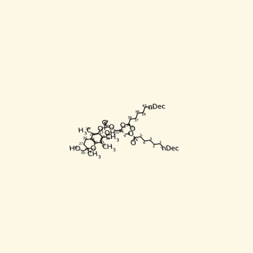 CCCCCCCCCCCCCCCC(=O)OC[C@H](COP(=O)(O)Oc1c(C)c(C)c2c(c1C)CCC(C)(CO)O2)OC(=O)CCCCCCCCCCCCCCC